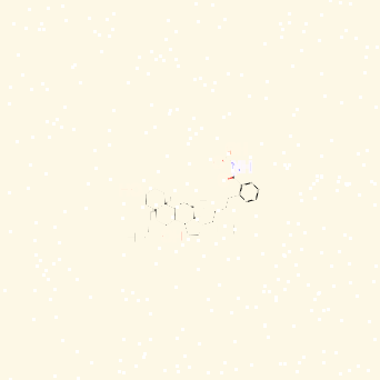 CC[C@H]1[C@@H](O)C2C3CC[C@H]([C@H](C)CCCc4ccccc4C(=O)NS(=O)O)[C@@]3(C)CCC2[C@@]2(C)CC[C@@H](O)C[C@@H]12